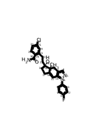 C[C@]12Cc3cnn(-c4ccc(F)cc4)c3C=C1CC[C@@]2(O)CCc1cc(Cl)ccc1C(N)=O